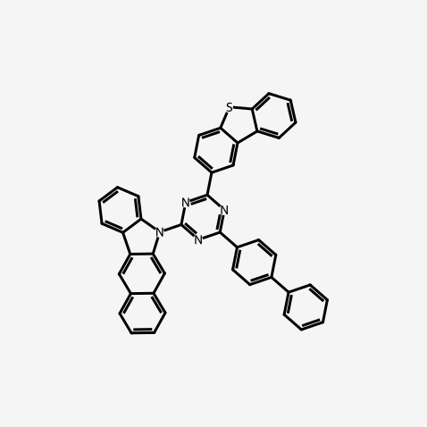 c1ccc(-c2ccc(-c3nc(-c4ccc5sc6ccccc6c5c4)nc(-n4c5ccccc5c5cc6ccccc6cc54)n3)cc2)cc1